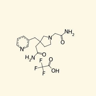 NC(=O)CN1CCC(CC(N)=O)(Cc2cccnc2)C1.O=C(O)C(F)(F)F